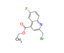 CCOC(=O)c1cc(CBr)nc2ccc(F)cc12